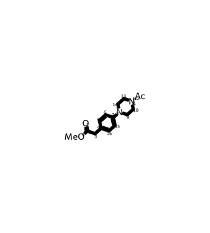 COC(=O)Cc1ccc(N2CCN(C(C)=O)CC2)cc1